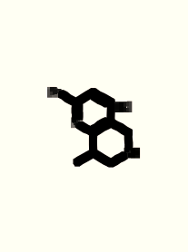 CC(C)c1ccc2c(n1)C(C)CNC2.Cl